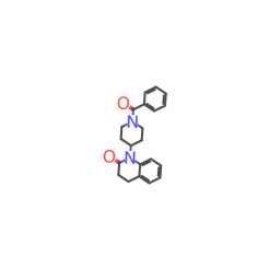 O=C(c1ccccc1)N1CCC(N2C(=O)CCc3ccccc32)CC1